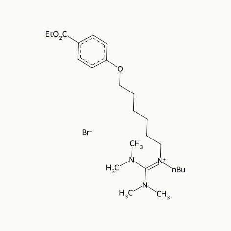 CCCC[N+](CCCCCCOc1ccc(C(=O)OCC)cc1)=C(N(C)C)N(C)C.[Br-]